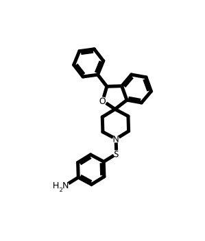 Nc1ccc(SN2CCC3(CC2)OC(c2ccccc2)c2ccccc23)cc1